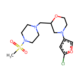 CS(=O)(=O)N1CCN(CC2CN(c3coc(Cl)c3)CCO2)CC1